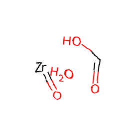 O.O=CO.[O]=[Zr]